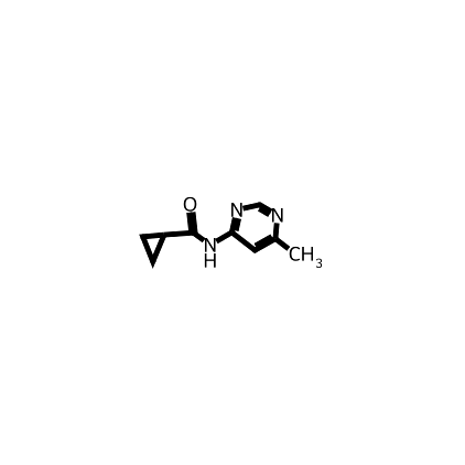 Cc1cc(NC(=O)C2CC2)ncn1